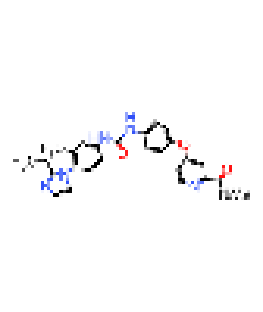 C=Cc1nccn1-c1ccc(NC(=O)Nc2ccc(Oc3ccnc(C(=O)NC)c3)cc2)cc1C(F)(F)F